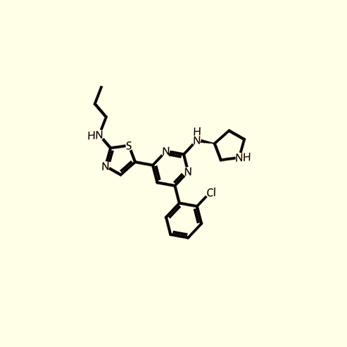 CCCNc1ncc(-c2cc(-c3ccccc3Cl)nc(N[C@H]3CCNC3)n2)s1